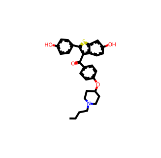 CCCCN1CCC(Oc2ccc(C(=O)c3c(-c4ccc(O)cc4)sc4cc(O)ccc34)cc2)CC1